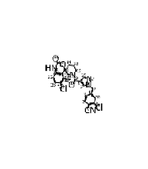 N#Cc1ccc(Cn2cc(C(=O)N3CCC[C@@]4(C3)OC(=O)Nc3ccc(Cl)c(F)c34)cn2)cc1Cl